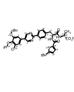 CCCCOc1cc(-c2cnc(-c3ccc(C[C@H](NC(=O)c4ccc(C(C)(C)C)s4)C(=O)N[C@H](C)C(=O)O)cc3)nc2)cc(Cl)c1OC(C)C